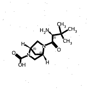 CC(C)(C)[C@H](N)C(=O)N1C[C@@H]2C[C@H]1CN2C(=O)O